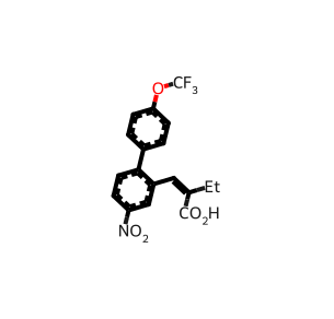 CCC(=Cc1cc([N+](=O)[O-])ccc1-c1ccc(OC(F)(F)F)cc1)C(=O)O